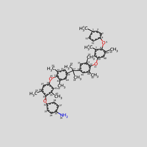 Cc1ccc(Oc2c(C)cc(Oc3c(C)cc(C(C)(C)c4cc(C)c(Oc5cc(C)c(Oc6ccc(N)cc6)c(C)c5)c(C)c4)cc3C)cc2C)cc1